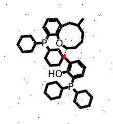 CC1CCC[C@H](Cc2cccc(P(C3CCCCC3)C3CCCCC3)c2O)Oc2c(cccc2P(C2CCCCC2)C2CCCCC2)C1